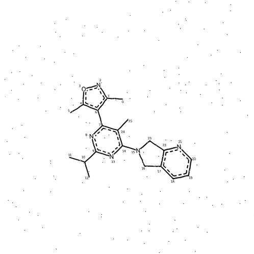 Cc1noc(C)c1-c1nc(C(C)C)nc(N2Cc3cccnc3C2)c1C